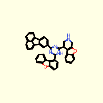 C1=C(C2=NC(c3ccc4c(c3)-c3cccc5cccc-4c35)=NC(c3cccc4oc5ccccc5c34)N2)c2c(oc3ccccc23)CN1